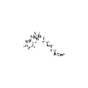 CCCCCCCCCCCCCCCCCN1C=CN(Cc2ccccc2)C1